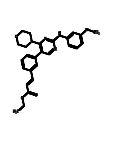 CCOC(=O)C=Cc1cccc(-c2cnc(Nc3cccc(OC)c3)nc2N2CCOCC2)c1